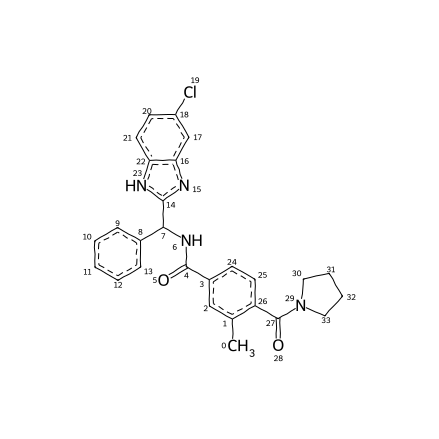 Cc1cc(C(=O)NC(c2ccccc2)c2nc3cc(Cl)ccc3[nH]2)ccc1C(=O)N1CCCC1